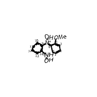 COC1=CC=CC/C1=[N+](/O)c1ccccc1NO